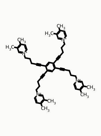 Cc1cc[n+](CCCC#Cc2cc(C#CCCC[n+]3ccc(C)c(C)c3)c(C#CCCC[n+]3ccc(C)c(C)c3)cc2C#CCCC[n+]2ccc(C)c(C)c2)cc1C